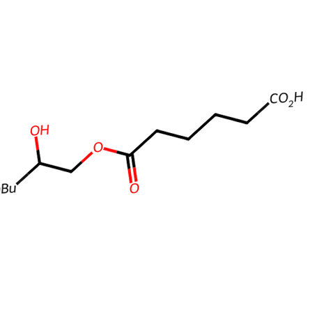 CCCCC(O)COC(=O)CCCCC(=O)O